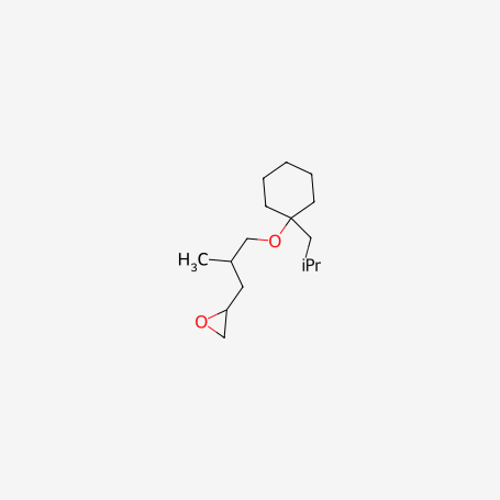 CC(C)CC1(OCC(C)CC2CO2)CCCCC1